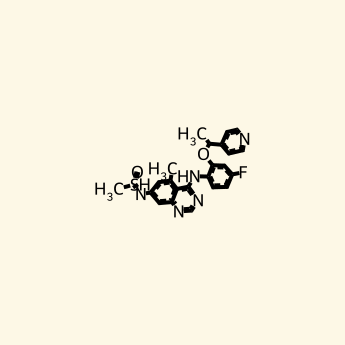 Cc1cc(/N=[SH](/C)=O)cc2ncnc(Nc3ccc(F)cc3OC(C)c3ccncc3)c12